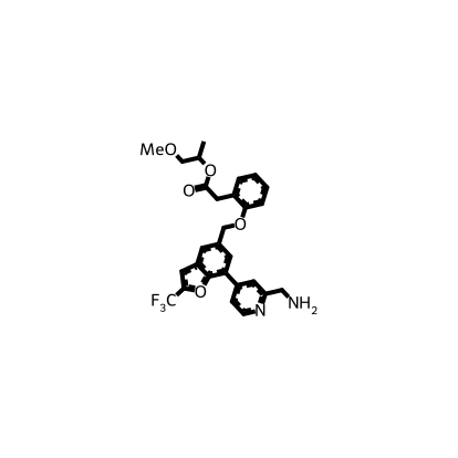 COCC(C)OC(=O)Cc1ccccc1OCc1cc(-c2ccnc(CN)c2)c2oc(C(F)(F)F)cc2c1